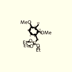 CCO[Si](Cc1ccc(OC)c(C)c1OC)(OCC)OCC